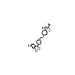 O=C(N[C@H]1CC[C@H](CCN2CCC(C(=O)c3ccc(F)cc3Cl)CC2)CC1)C1CC1